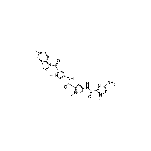 Cc1ccc2c(ccn2C(=O)c2cc(NC(=O)c3cc(NC(=O)c4nc(N)cn4C)cn3C)cn2C)c1